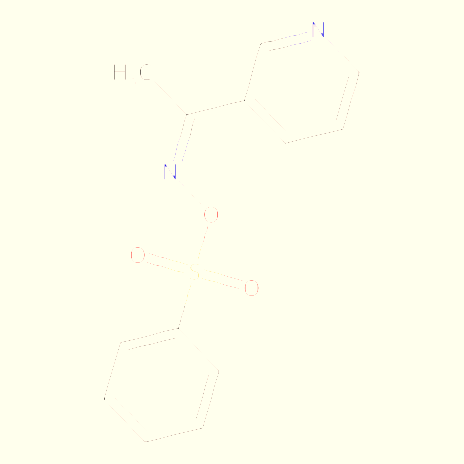 CC(=NOS(=O)(=O)c1ccccc1)c1cccnc1